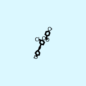 COC1CCC(C#CC2CCC(OC(=O)C3CCC(OC)CC3)C(Cl)C2)CC1